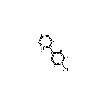 Clc1[c]cc(-c2ccccn2)cc1